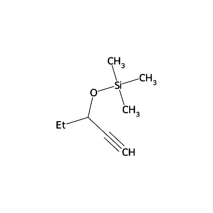 C#CC(CC)O[Si](C)(C)C